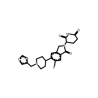 O=C1CCC(N2Cc3cc(C4CCN(Cc5cscn5)CC4)c(F)cc3C2=O)C(=O)N1